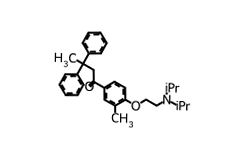 Cc1cc(C(=O)CC(C)(c2ccccc2)c2ccccc2)ccc1OCCN(C(C)C)C(C)C